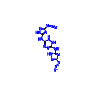 [N-]=[N+]=Nc1n[nH]c(NC2=NN=C(Nc3nc(N=[N+]=[N-])n[nH]3)NN2)n1